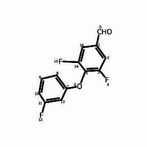 O=Cc1cc(F)c(Oc2cccc(F)c2)c(F)c1